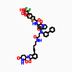 CC(C)(C)[C@H](NC(=O)c1cc2cc(C(F)(F)P(=O)(O)O)ccc2s1)C(=O)N1CCC[C@H]1C(=O)N(CCC(=O)NCCCC#Cc1cccc2c1CN(C1CCC(=O)NC1=O)C2=O)c1cccc(-c2ccccc2)c1